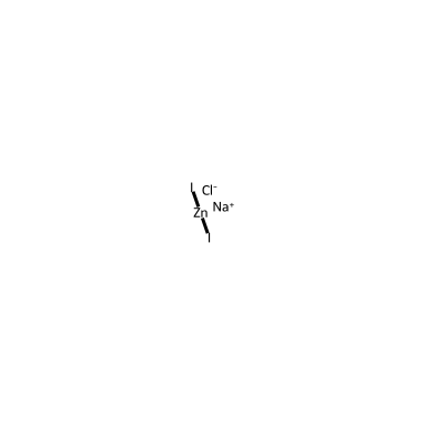 [Cl-].[I][Zn][I].[Na+]